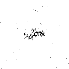 CCOC(=O)c1nn(C)c(-c2cnc(CC(C)(C)C(F)(F)F)cc2OC(F)F)c1Cl